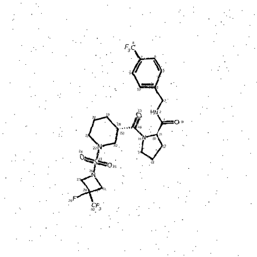 O=C(NCc1ccc(C(F)(F)F)cc1)[C@H]1CCCN1C(=O)[C@H]1CCCN(S(=O)(=O)N2CC(F)(C(F)(F)F)C2)C1